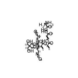 C=CC(=O)O.C=CC(=O)O.C=CC(=O)O.N.NC(=O)O.O=C=NCCCCCCN=C=O.OCC(CO)(CO)CO